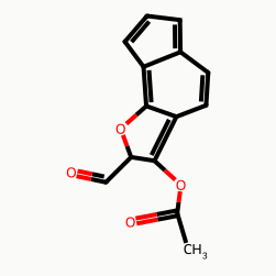 CC(=O)OC1=c2ccc3c(c2OC1C=O)C=CC=3